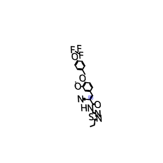 CCc1nnc(NC(=O)/C(C#N)=C/c2ccc(OCc3ccc(OC(F)(F)F)cc3)c(OC)c2)s1